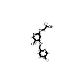 O=C(O)COc1cc(OCc2ccc(Cl)cn2)c(Cl)cn1